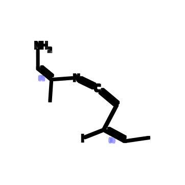 C/C=C(/I)C=C=N/C(C)=C\N